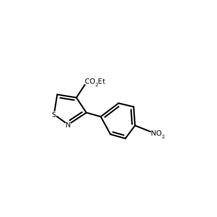 CCOC(=O)c1csnc1-c1ccc([N+](=O)[O-])cc1